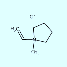 C=C[N+]1(C)CCCC1.[Cl-]